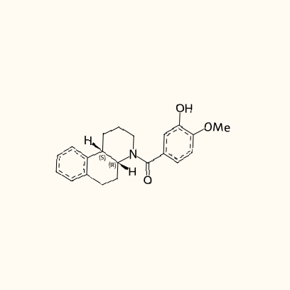 COc1ccc(C(=O)N2CCC[C@H]3c4ccccc4CC[C@H]32)cc1O